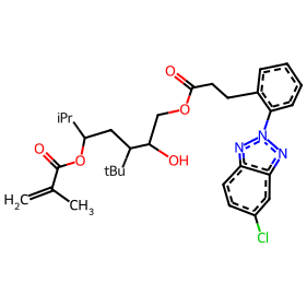 C=C(C)C(=O)OC(CC(C(O)COC(=O)CCc1ccccc1-n1nc2ccc(Cl)cc2n1)C(C)(C)C)C(C)C